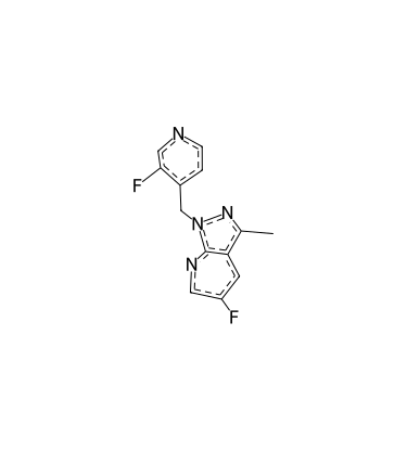 Cc1nn(Cc2ccncc2F)c2ncc(F)cc12